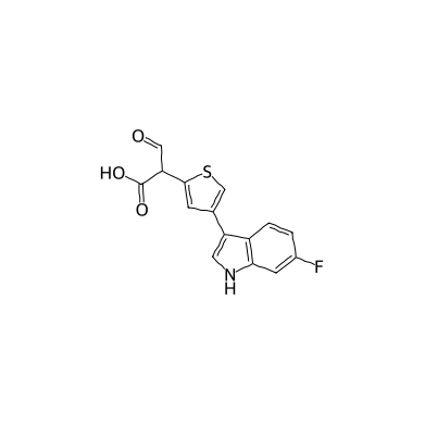 O=CC(C(=O)O)c1cc(-c2c[nH]c3cc(F)ccc23)cs1